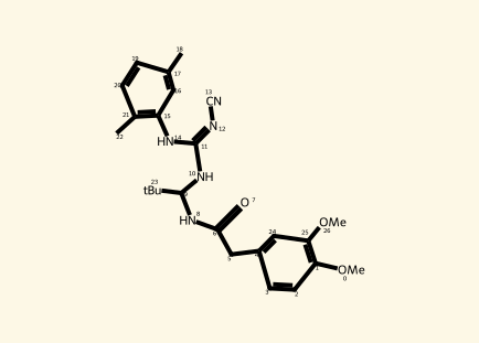 COc1ccc(CC(=O)NC(N/C(=N/C#N)Nc2cc(C)ccc2C)C(C)(C)C)cc1OC